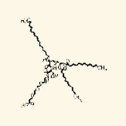 CCCCCCCCCCCCCCCCN[C@@H](CSC[C@@H](COC(=O)CCCCCCCCCCC)OC(=O)CCCCCCCCCCC)C(=O)N[C@@H](CO)C(=O)NCCOCCOCCOCCC(=O)O